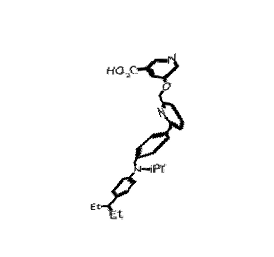 CCC(CC)c1ccc(N(Cc2ccc(-c3cccc(COc4cncc(C(=O)O)c4)n3)cc2)C(C)C)cc1